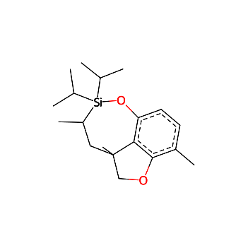 Cc1ccc2c3c1OCC3(C)CC(C)[Si](C(C)C)(C(C)C)O2